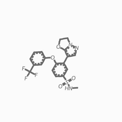 CNS(=O)(=O)c1ccc(Oc2cccc(C(F)(F)F)c2)c(-c2cnn3c2OCC3)c1